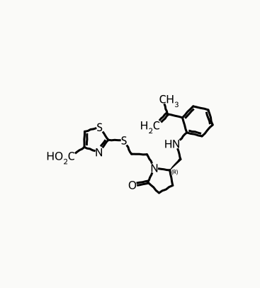 C=C(C)c1ccccc1NC[C@H]1CCC(=O)N1CCSc1nc(C(=O)O)cs1